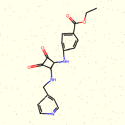 CCOC(=O)c1ccc(NC2C(=O)C(=O)C2NCc2ccncc2)cc1